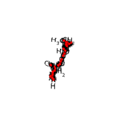 CN(C)CCOc1ccccc1Cn1cnc2ccc(C(=O)NCCOCCOCCC(=O)N3CCN(CC[C@H](NC(=O)C4(N)CCN(c5ncnc6[nH]ccc56)CC4)c4ccc(Cl)cc4)CC3)nc21